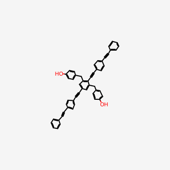 Oc1ccc(Cc2cc(C#Cc3ccc(C#Cc4ccccc4)cc3)cc(Cc3ccc(O)cc3)c2C#Cc2ccc(C#Cc3ccccc3)cc2)cc1